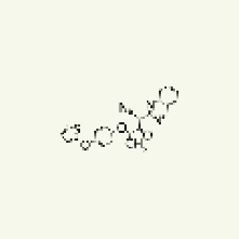 CC(Oc1ccc(Oc2cccs2)cc1)C(=O)C(C#N)c1ncc2ccccc2n1